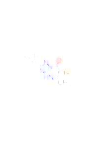 Cc1[nH]c2nc(CC(=O)O)nn2c(=O)c1Br